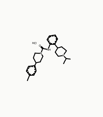 Cc1ccc(C2CCN(C(=O)Nc3ccccc3C3CCN(C(C)C)CC3)CC2)cc1.Cl